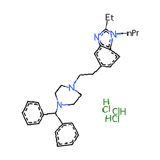 CCCn1c(CC)nc2cc(CCN3CCN(C(c4ccccc4)c4ccccc4)CC3)ccc21.Cl.Cl.Cl